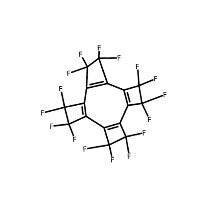 FC1(F)C2=C(C3=C(C4=C(C5=C2C(F)(F)C5(F)F)C(F)(F)C4(F)F)C(F)(F)C3(F)F)C1(F)F